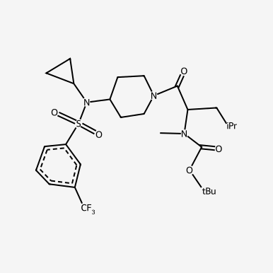 CC(C)CC(C(=O)N1CCC(N(C2CC2)S(=O)(=O)c2cccc(C(F)(F)F)c2)CC1)N(C)C(=O)OC(C)(C)C